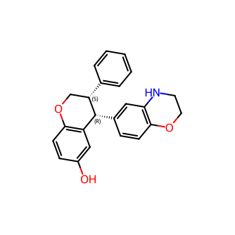 Oc1ccc2c(c1)[C@@H](c1ccc3c(c1)NCCO3)[C@@H](c1ccccc1)CO2